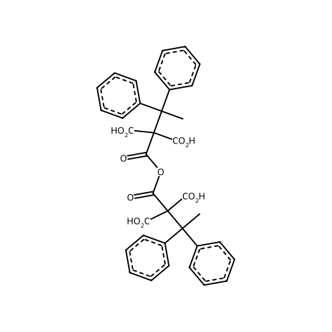 CC(c1ccccc1)(c1ccccc1)C(C(=O)O)(C(=O)O)C(=O)OC(=O)C(C(=O)O)(C(=O)O)C(C)(c1ccccc1)c1ccccc1